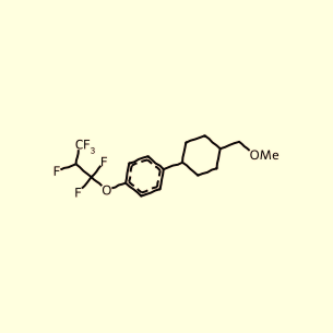 COCC1CCC(c2ccc(OC(F)(F)C(F)C(F)(F)F)cc2)CC1